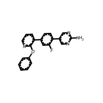 Nc1ncc(-c2ccc(-c3cccnc3Oc3ccccc3)cc2F)cn1